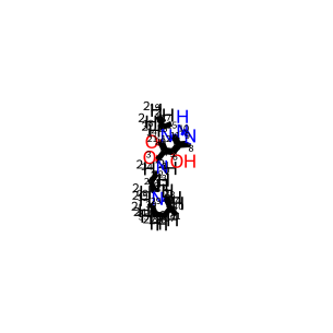 [2H]N(C(=O)c1c(O)c2cn[nH]c2n(C([2H])(C)C([2H])([2H])[2H])c1=O)C([2H])([2H])CC([2H])([2H])N1C([2H])([2H])C([2H])([2H])C([2H])([2H])C([2H])(C)C1([2H])[2H]